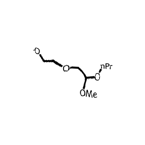 CCCOC(COCC[O])OC